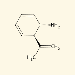 C=C(C)[C@H]1C=CC=C[C@@H]1N